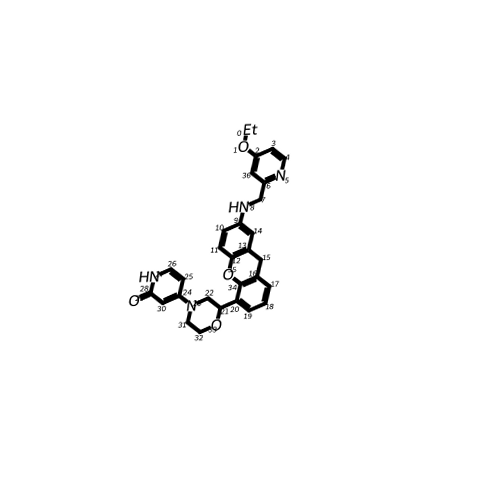 CCOc1ccnc(CNc2ccc3c(c2)Cc2cccc(C4CN(c5cc[nH]c(=O)c5)CCO4)c2O3)c1